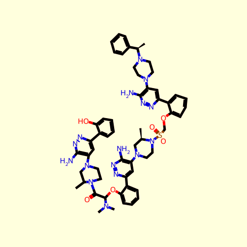 CC1CN(c2cc(-c3ccccc3O)nnc2N)CCN1C(=O)C(Oc1ccccc1-c1cc(N2CCN(S(=O)(=O)COc3ccccc3-c3cc(N4CCN([C@H](C)c5ccccc5)CC4)c(N)nn3)[C@H](C)C2)c(N)nn1)N(C)C